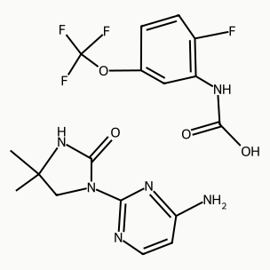 CC1(C)CN(c2nccc(N)n2)C(=O)N1.O=C(O)Nc1cc(OC(F)(F)F)ccc1F